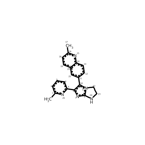 Cc1cccc(-c2nc3n(c2-c2ccc4nc(C)ccc4c2)CCN3)n1